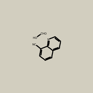 N#Cc1cccc2cccnc12.O=CO